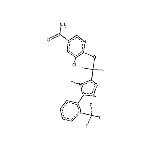 Cn1c(-c2ccccc2C(F)(F)F)nnc1C(C)(C)Oc1ncc(C(N)=O)cc1Cl